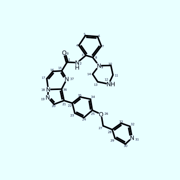 O=C(Nc1ccccc1N1CCNCC1)c1ccn2ncc(-c3ccc(OCc4ccncc4)cc3)c2n1